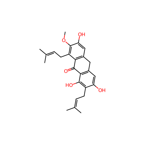 COc1c(O)cc2c(c1CC=C(C)C)C(=O)c1c(cc(O)c(CC=C(C)C)c1O)C2